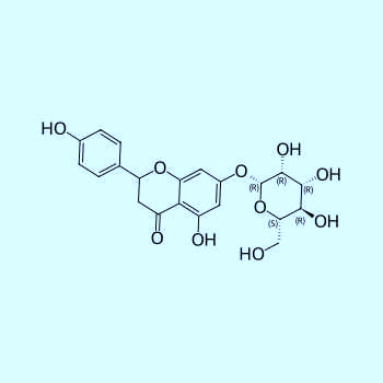 O=C1CC(c2ccc(O)cc2)Oc2cc(O[C@H]3O[C@@H](CO)[C@H](O)[C@@H](O)[C@H]3O)cc(O)c21